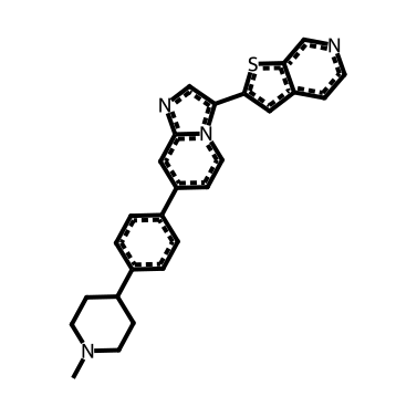 CN1CCC(c2ccc(-c3ccn4c(-c5cc6ccncc6s5)cnc4c3)cc2)CC1